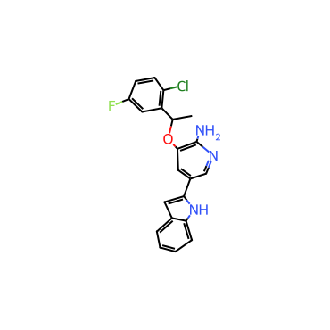 CC(Oc1cc(-c2cc3ccccc3[nH]2)cnc1N)c1cc(F)ccc1Cl